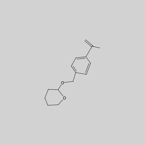 C=C(C)c1ccc(COC2CCCCO2)cc1